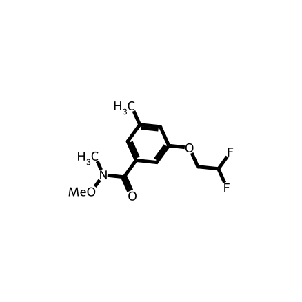 CON(C)C(=O)c1cc(C)cc(OCC(F)F)c1